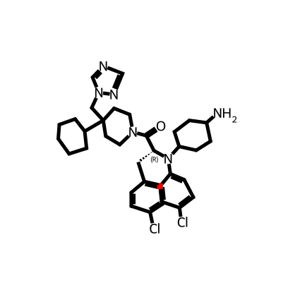 NC1CCC(N(c2ccc(Cl)cc2)[C@H](Cc2ccc(Cl)cc2)C(=O)N2CCC(Cn3cncn3)(C3CCCCC3)CC2)CC1